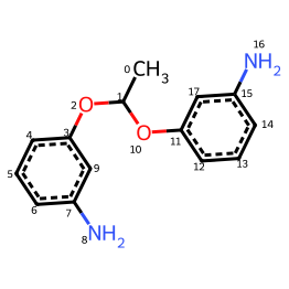 CC(Oc1cccc(N)c1)Oc1cccc(N)c1